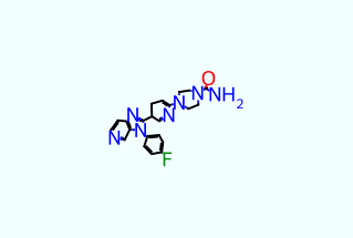 NC(=O)N1CCN(C2=CCC(c3nc4ccncc4n3-c3ccc(F)cc3)C=N2)CC1